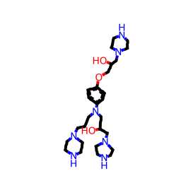 OC(COc1ccc(N(CCCN2CCNCC2)CC(O)CN2CCNCC2)cc1)CN1CCNCC1